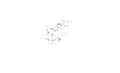 CC(=O)N(C)[C@@H](Cc1ccccc1)C(=O)N[C@H](C(=O)N(C)[C@@H](CC(C)C)C(=O)N[C@@H](COC(C)(C)C)C(=O)N(C)[C@@H](CC(C)C)C(=O)N(C)[C@@H](CC(C)C)C(=O)NC(C(=O)N(C)C)C(=O)N1CCCCC1)C(C)O